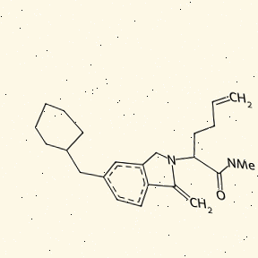 C=CCCC(C(=O)NC)N1Cc2cc(CC3CCCCC3)ccc2C1=C